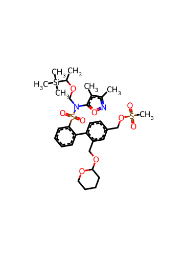 Cc1noc(N(COC(C)[Si](C)(C)C)S(=O)(=O)c2ccccc2-c2ccc(COS(C)(=O)=O)cc2COC2CCCCO2)c1C